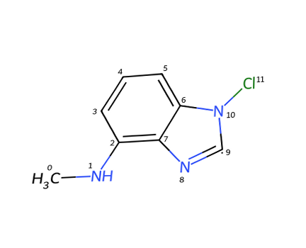 CNc1cccc2c1n[c]n2Cl